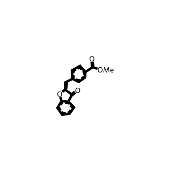 COC(=O)c1ccc(C=C2Oc3ccccc3C2=O)cc1